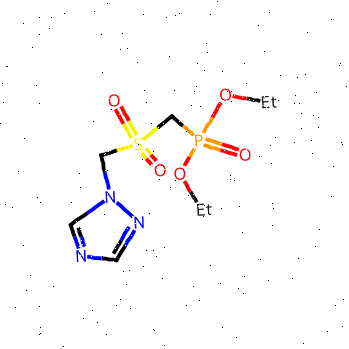 CCOP(=O)(CS(=O)(=O)Cn1cncn1)OCC